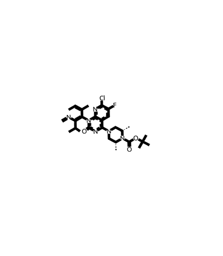 C=N/C(=C(\C(C)=C/C)n1c(=O)nc(N2C[C@@H](C)N(C(=O)OC(C)(C)C)[C@@H](C)C2)c2cc(F)c(Cl)nc21)C(C)C